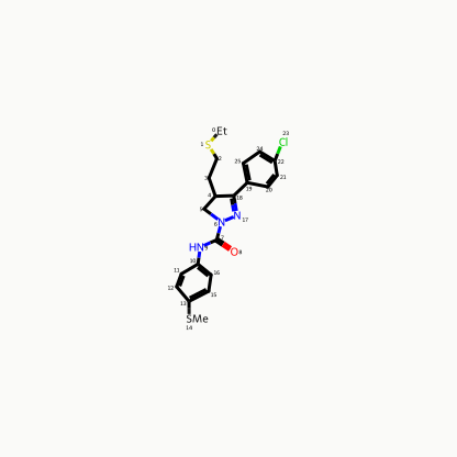 CCSCCC1CN(C(=O)Nc2ccc(SC)cc2)N=C1c1ccc(Cl)cc1